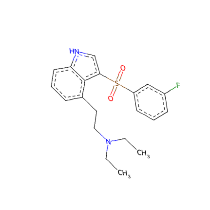 CCN(CC)CCc1cccc2[nH]cc(S(=O)(=O)c3cccc(F)c3)c12